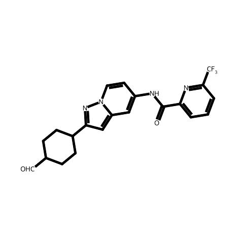 O=CC1CCC(c2cc3cc(NC(=O)c4cccc(C(F)(F)F)n4)ccn3n2)CC1